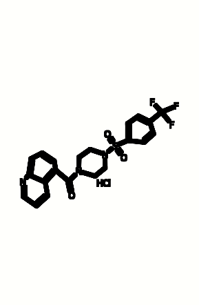 Cl.O=C(c1cccc2ncccc12)N1CCN(S(=O)(=O)c2ccc(C(F)(F)F)cc2)CC1